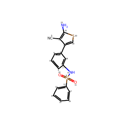 N#Cc1c(-c2cccc(NS(=O)(=O)c3ccccc3)c2)csc1N